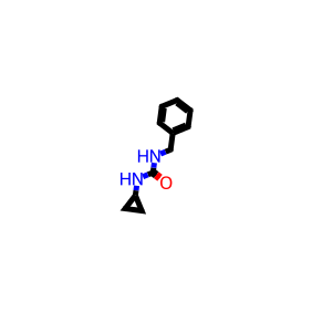 O=C(NCc1ccccc1)NC1CC1